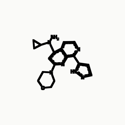 NN(c1cc(N2CCOCC2)nc2c(-c3ccn[nH]3)nccc12)C1CC1